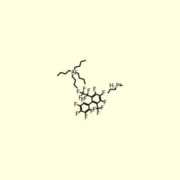 CCC[CH2][Al-]([CH2]CCC)([CH2]CCC)[CH2]CCC.CCC[PH2+]C.Fc1c(F)c(F)c(-c2c(C(F)(F)F)c(F)c(F)c(F)c2C(F)(F)C(F)(F)F)c(F)c1F